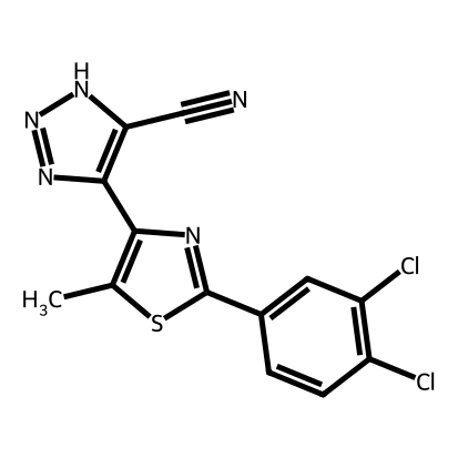 Cc1sc(-c2ccc(Cl)c(Cl)c2)nc1-c1nn[nH]c1C#N